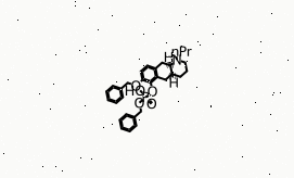 CCCN1CCC[C@@H]2Cc3c(ccc(OCc4ccccc4)c3OP(=O)(O)OCc3ccccc3)C[C@H]21